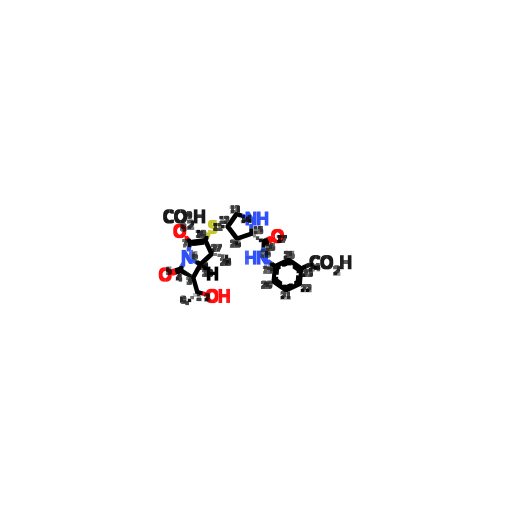 C[C@@H](O)[C@H]1C(=O)N2C(OC(=O)O)=C(S[C@@H]3CN[C@H](C(=O)Nc4cccc(C(=O)O)c4)C3)[C@H](C)[C@H]12